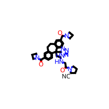 N#CC1CCCN1C(=O)CNCCC1(c2nnn[nH]2)c2ccc(C(=O)N3CCC3)cc2CCc2cc(C(=O)N3CCC3)ccc21